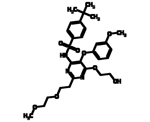 COCCOCCc1nc(NS(=O)(=O)c2ccc(C(C)(C)C)cc2)c(Oc2cccc(OC)c2)c(OCCO)n1